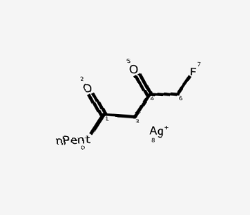 CCCCCC(=O)CC(=O)CF.[Ag+]